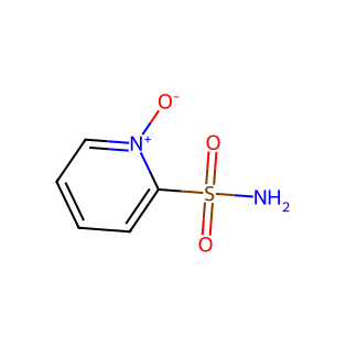 NS(=O)(=O)c1cccc[n+]1[O-]